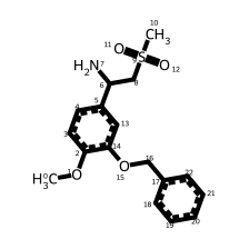 COc1ccc(C(N)CS(C)(=O)=O)cc1OCc1ccccc1